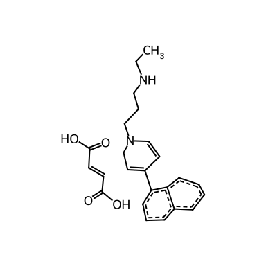 CCNCCCN1C=CC(c2cccc3ccccc23)=CC1.O=C(O)C=CC(=O)O